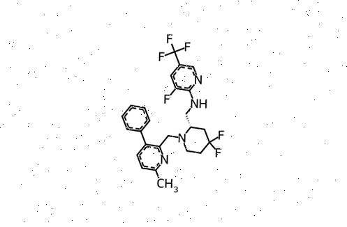 Cc1ccc(-c2ccccc2)c(CN2CCC(F)(F)C[C@H]2CNc2ncc(C(F)(F)F)cc2F)n1